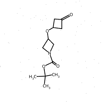 CC(C)(C)OC(=O)N1CC(OC2CC(=O)C2)C1